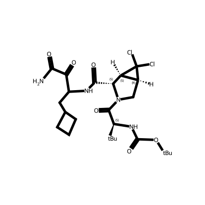 CC(C)(C)OC(=O)N[C@H](C(=O)N1C[C@H]2[C@@H]([C@H]1C(=O)NC(CC1CCC1)C(=O)C(N)=O)C2(Cl)Cl)C(C)(C)C